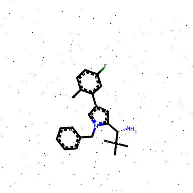 Cc1ccc(F)cc1-c1cc([C@H](N)C(C)(C)C)n(Cc2ccccc2)c1